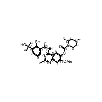 COc1cc2nc(C)nc(N[C@H](C)c3cccc(C(C)(C)O)c3F)c2cc1OC(=O)N1CCN(C)C[C@@H]1C